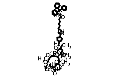 CC[C@H]1OC(=O)[C@H](C)C(=O)[C@H](C)[C@@H](O[C@@H]2O[C@H](C)C[C@H](N(C)Cc3ccc(-c4cn(CCCCCC(=O)NOC(c5ccccc5)(c5ccccc5)c5ccccc5)nn4)cc3)[C@@H]2O)[C@](C)(OC)C[C@@H](C)C2=NCCN3C(=O)O[C@@]1(C)[C@H]3[C@H]2C